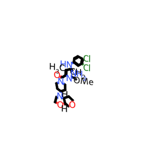 C=C(Nc1ccc(Cl)c(Cl)c1)/C(C)=C(\N=C(/N)OC)C(=O)N1CCC(N2CCO[C@H]3COCC[C@H]32)CC1